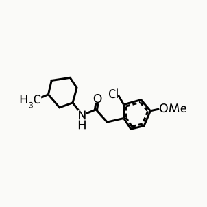 COc1ccc(CC(=O)NC2CCCC(C)C2)c(Cl)c1